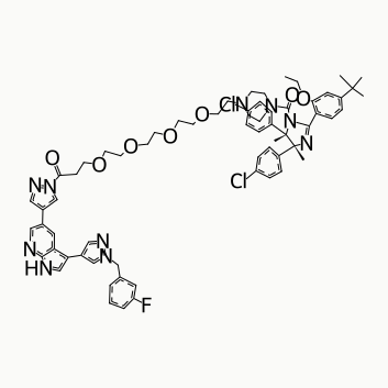 CCOc1cc(C(C)(C)C)ccc1C1=N[C@](C)(c2ccc(Cl)cc2)[C@](C)(c2ccc(Cl)cc2)N1C(=O)N1CCN(CCOCCOCCOCCOCCC(=O)n2cc(-c3cnc4[nH]cc(-c5cnn(Cc6cccc(F)c6)c5)c4c3)cn2)CC1